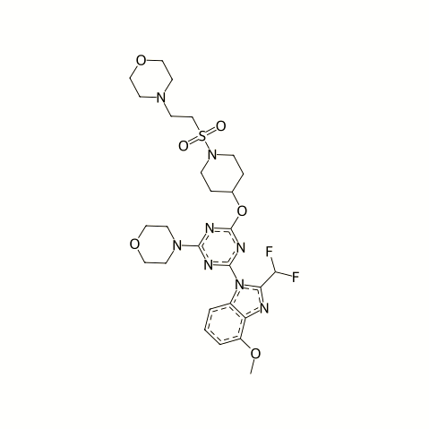 COc1cccc2c1nc(C(F)F)n2-c1nc(OC2CCN(S(=O)(=O)CCN3CCOCC3)CC2)nc(N2CCOCC2)n1